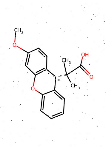 COc1ccc2c(c1)Oc1ccccc1[C@H]2C(C)(C)C(=O)O